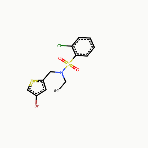 CC(C)CN(Cc1cc(Br)cs1)S(=O)(=O)c1ccccc1Cl